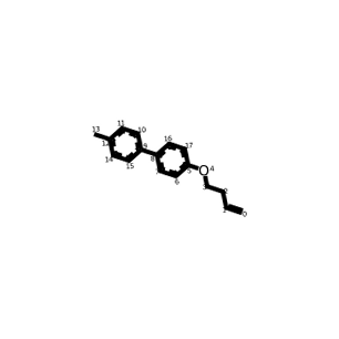 C=CCCOc1ccc(-c2ccc(C)cc2)cc1